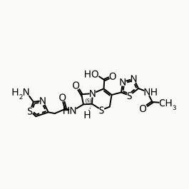 CC(=O)Nc1nnc(C2=C(C(=O)O)N3C(=O)C(NC(=O)Cc4csc(N)n4)[C@@H]3SC2)s1